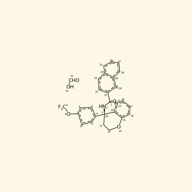 O=C(N[C@]1(c2ccc(OC(F)(F)F)cc2)CCOc2cccnc21)c1ccc2ccccc2n1.O=CO